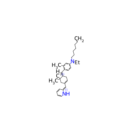 C=CCCCCCN(CC)c1ccc(/C=C2\CC=C(/C=C3\C=CC=CN3)CC2(C)C)c(C)c1